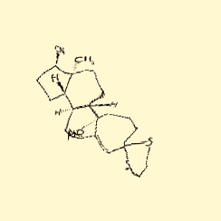 C[C@]12CC[C@H]3[C@@H](C=CC4=CC5(CC[C@@]43CO)SCCS5)[C@@H]1CC[C@H]2C#N